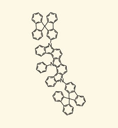 c1ccc(-n2c3c(ccc4c3c3ccccc3n4-c3ccc4c(c3)C3(c5ccccc5-c5ccccc53)c3ccccc3-4)c3ccc4c(c5ccccc5n4-c4ccc5c(c4)C4(c6ccccc6-c6ccccc64)c4ccccc4-5)c32)cc1